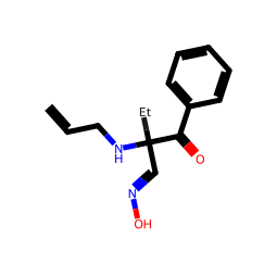 C=CCNC(/C=N/O)(CC)C(=O)c1ccccc1